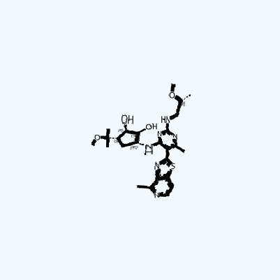 CO[C@H](C)CNc1nc(C)c(-c2nc3c(C)nccc3s2)c(N[C@@H]2C[C@H](C(C)(C)OC)[C@@H](O)[C@H]2O)n1